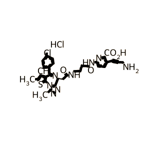 Cc1sc2c(c1C)C(c1ccc(Cl)cc1)=N[C@@H](CC(=O)NCCCC(=O)Nc1ccc(C#CCN)c(C(=O)O)n1)c1nnc(C)n1-2.Cl